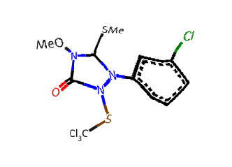 CON1C(=O)N(SC(Cl)(Cl)Cl)N(c2cccc(Cl)c2)C1SC